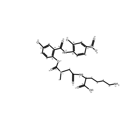 CN(CC(=O)NC(CCCCN)C(=O)O)C(=O)Oc1ccc(Cl)cc1C(=O)Nc1ccc([N+](=O)[O-])cc1Cl